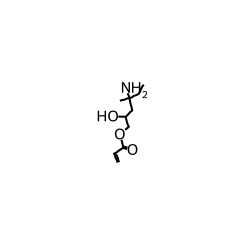 C=CC(=O)OCC(O)CC(C)(N)CC